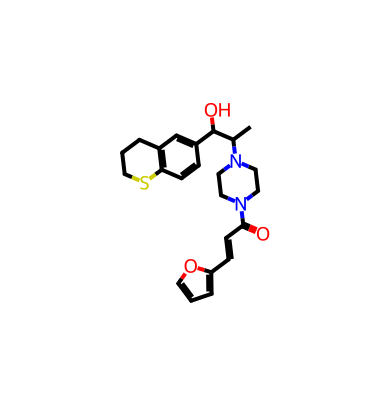 CC(C(O)c1ccc2c(c1)CCCS2)N1CCN(C(=O)/C=C/c2ccco2)CC1